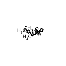 Cc1cc(C=C2SC(=O)N(c3ccccc3)C2=O)c(C)n1-c1ccc(N(C)C)cc1